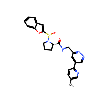 O=C(NCc1cc(-c2ccc(C(F)(F)F)cn2)cnn1)[C@@H]1CCCN1[S+]([O-])c1cc2ccccc2o1